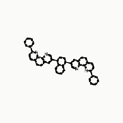 c1ccc(-c2ccc3ccc4cc(-c5ccc(-c6cnc7c(ccc8ccc(-c9ccccc9)nc87)c6)c6ccccc56)cnc4c3n2)cc1